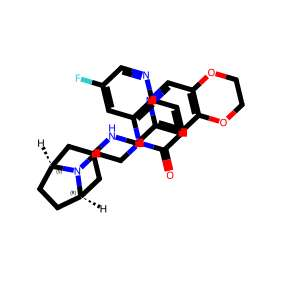 O=c1ccc2ncc(F)cc2n1CCN1[C@@H]2CC[C@H]1CC(NCc1cc3c(cn1)OCCO3)C2